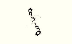 CC(=O)O[C@@H](C(=O)N(C)CC1CC(Cc2ccccc2Cl)=CS1)[C@@H](OC(C)=O)C(=O)N1Cc2ccccc2C1